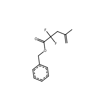 C=C(C)CC(F)(F)C(=O)OCc1ccccc1